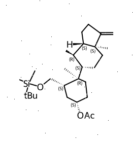 C=C1CC[C@H]2[C@H](C)[C@@H]([C@@]3(C)CC[C@H](OC(C)=O)C[C@@H]3CO[Si](C)(C)C(C)(C)C)CC[C@]12C